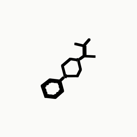 CC(C)=C(C)N1CCN(c2ccccc2)CC1